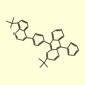 CC(C)(C)c1ccc2c(-c3ccccc3)c3ccccc3c(-c3ccc(-c4ccnc5c(C(C)(C)C)cccc45)cc3)c2c1